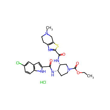 CCOC(=O)N1CC[C@H](NC(=O)c2cc3cc(Cl)ccc3[nH]2)[C@H](NC(=O)c2nc3c(s2)CN(C)CC3)C1.Cl